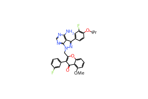 COc1cccc2oc(Cn3nc(-c4ccc(OC(C)C)c(F)c4)c4c(N)ncnc43)c(-c3cccc(F)c3)c(=O)c12